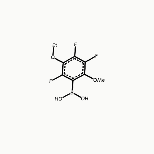 CCOc1c(F)c(F)c(OC)c(B(O)O)c1F